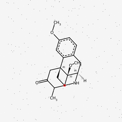 COc1ccc2c(c1)[C@]13CCN[C@H](C2)[C@]1(OC)CC(C)C(=O)C3